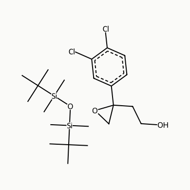 CC(C)(C)[Si](C)(C)O[Si](C)(C)C(C)(C)C.OCCC1(c2ccc(Cl)c(Cl)c2)CO1